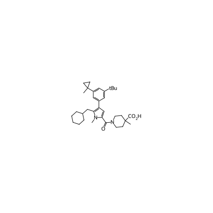 Cn1c(C(=O)N2CCC(C)(C(=O)O)CC2)cc(-c2cc(C(C)(C)C)cc(C3(C)CC3)c2)c1CC1CCCCC1